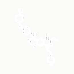 C=CC(=O)Nc1cc2c(Nc3ccc(Oc4ccc(Cl)cc4)cc3)ncnc2cc1OCCN1CCOCC1